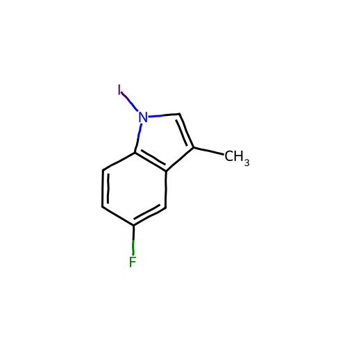 Cc1cn(I)c2ccc(F)cc12